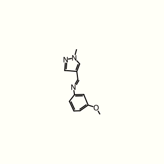 COc1cccc(N=Cc2cnn(C)c2)c1